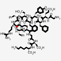 CC(C)C[C@H](NC(=O)[C@H](CCCNC(=N)N)NC(=O)[C@H](CC(C)C)NC(=O)[C@H](CC(=O)O)NC(=O)[C@H](Cc1ccccc1)NC(=O)[C@H](Cc1ccc(O)cc1)NC(=O)[C@H](Cc1ccccc1)NC(=O)[C@H](CCC(=O)O)NC(=O)CN)C(=O)N[C@@H](CCCCN)C(=O)NCC(=O)N[C@@H](CC(=O)O)C(=O)N[C@@H](CCCCN)C(=O)O